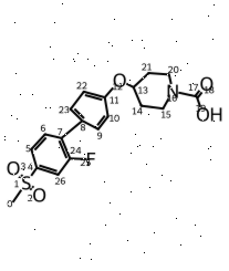 CS(=O)(=O)c1ccc(-c2ccc(OC3CCN(C(=O)O)CC3)cc2)c(F)c1